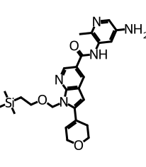 Cc1ncc(N)cc1NC(=O)c1cnc2c(c1)cc(C1=CCOCC1)n2COCC[Si](C)(C)C